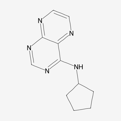 c1cnc2c(NC3CCCC3)ncnc2n1